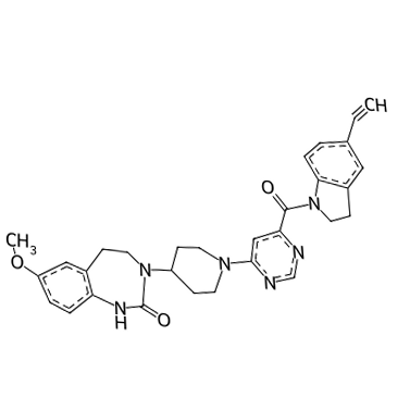 C#Cc1ccc2c(c1)CCN2C(=O)c1cc(N2CCC(N3CCc4cc(OC)ccc4NC3=O)CC2)ncn1